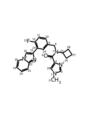 Cn1cnc(C(=O)N(Cc2ccc(F)c(-c3cn4ccccc4n3)c2)C2CCC2)c1